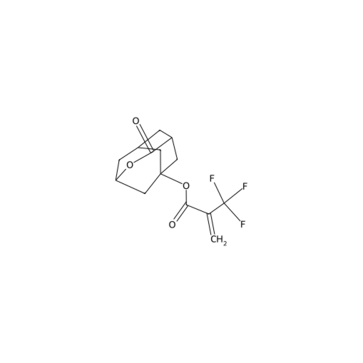 C=C(C(=O)OC12CC3CC(C1)OC(=O)C(C3)C2)C(F)(F)F